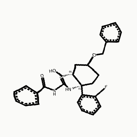 O=C(NC(=S)N[C@@]1(c2ccccc2F)CCC(OCc2ccccc2)C[C@H]1CO)c1ccccc1